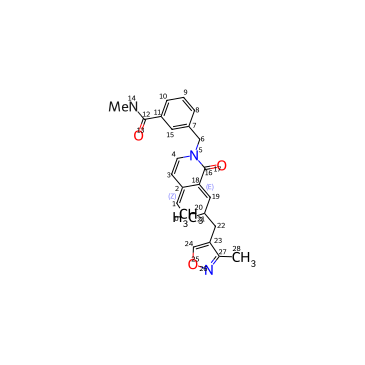 C/C=c1/ccn(Cc2cccc(C(=O)NC)c2)c(=O)/c1=C/C(C)Cc1conc1C